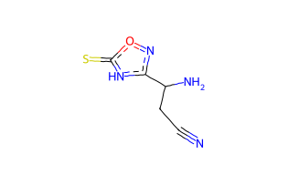 N#CCC(N)c1noc(=S)[nH]1